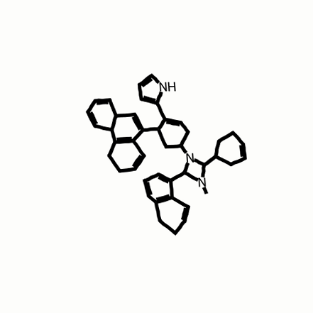 CN1C(c2cccc3c2C=CCC3)N(C2CC=C(c3ccc[nH]3)C(C3=CC4C=CC=CC4C4=C3C=CCC4)C2)C1C1CC=CCC1